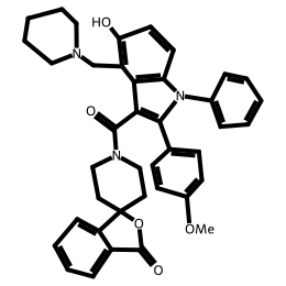 COc1ccc(-c2c(C(=O)N3CCC4(CC3)OC(=O)c3ccccc34)c3c(CN4CCCCC4)c(O)ccc3n2-c2ccccc2)cc1